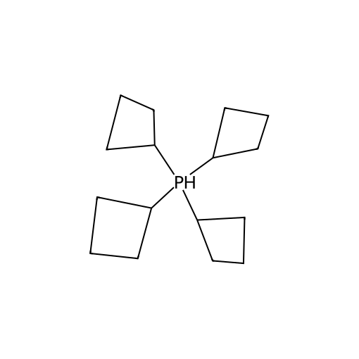 C1CC([PH](C2CCC2)(C2CCC2)C2CCC2)C1